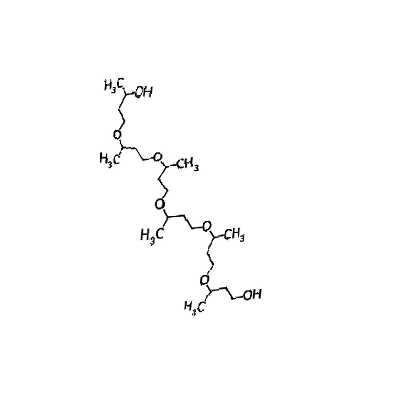 CC(O)CCOC(C)CCOC(C)CCOC(C)CCOC(C)CCOC(C)CCO